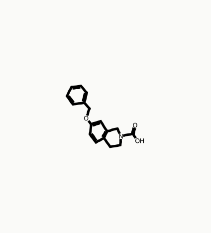 O=C(O)N1CCc2ccc(OCc3ccccc3)cc2C1